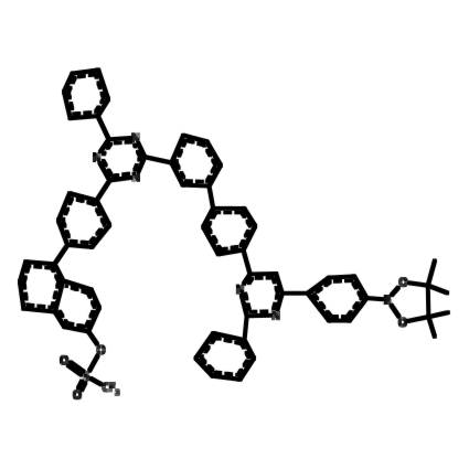 CC1(C)OB(c2ccc(-c3cc(-c4ccc(-c5cccc(-c6nc(-c7ccccc7)nc(-c7ccc(-c8cccc9cc(OS(=O)(=O)C(F)(F)F)ccc89)cc7)n6)c5)cc4)nc(-c4ccccc4)n3)cc2)OC1(C)C